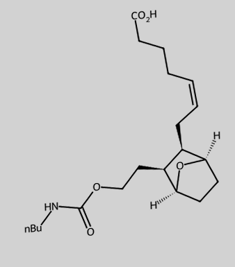 CCCCNC(=O)OCC[C@H]1[C@@H](C/C=C\CCCC(=O)O)[C@H]2CC[C@@H]1O2